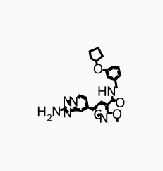 COc1ncc(-c2ccn3nc(N)nc3c2)cc1C(=O)NCc1cccc(OC2CCCC2)c1